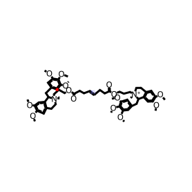 COc1cc2c(cc1OC)C(Cc1cc(OC)c(OC)c(OC)c1)[N+](C)(CCCOC(=O)CC/C=C/CCC(=O)OCCC[N+]1(C)CCc3cc(OC)c(OC)cc3C1Cc1cc(OC)c(OC)c(OC)c1)CC2